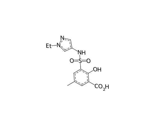 CCn1cc(NS(=O)(=O)c2cc(C)cc(C(=O)O)c2O)cn1